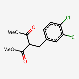 COC(=O)C(Cc1ccc(Cl)c(Cl)c1)C(=O)OC